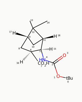 CC(C)(C)OC(=O)N[C@H]1[C@@H](C(=O)O)C[C@H]2C[C@@H]1C2(C)C